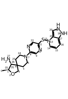 C[C@@H]1OCC2(CCN(c3cnc(SN4C=CC=C5NNC=C54)cn3)CC2)[C@@H]1N